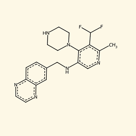 Cc1ncc(NCc2ccc3nccnc3c2)c(N2CCNCC2)c1C(F)F